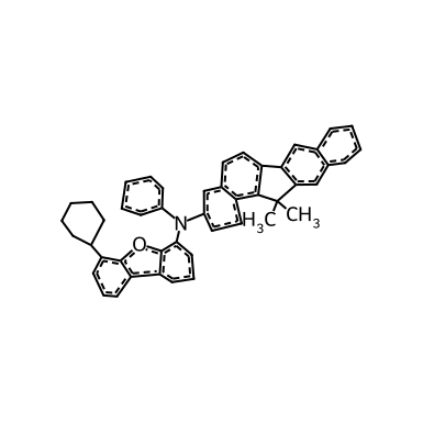 CC1(C)c2cc3ccccc3cc2-c2ccc3cc(N(c4ccccc4)c4cccc5c4oc4c(C6CCCCC6)cccc45)ccc3c21